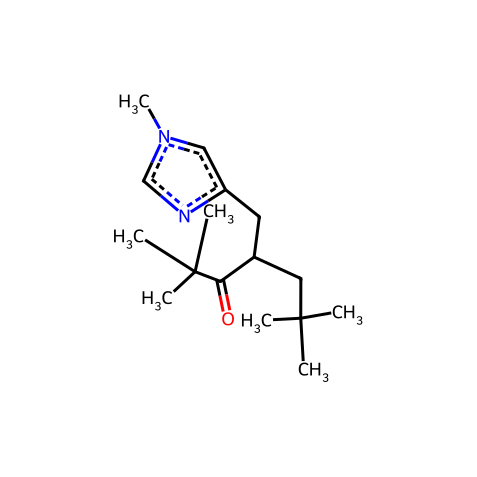 Cn1cnc(CC(CC(C)(C)C)C(=O)C(C)(C)C)c1